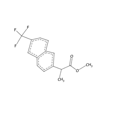 COC(=O)C(C)c1ccc2cc(C(F)(F)F)ccc2c1